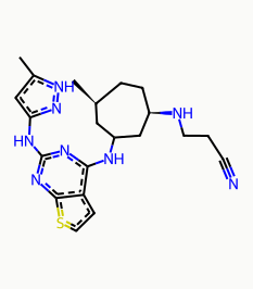 Cc1cc(Nc2nc(NC3C[C@@H](C)CC[C@@H](NCCC#N)C3)c3ccsc3n2)n[nH]1